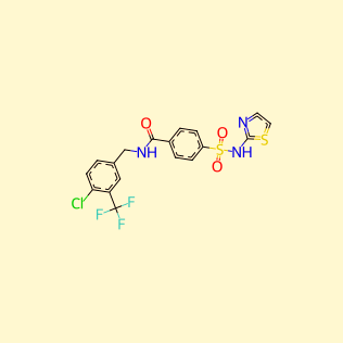 O=C(NCc1ccc(Cl)c(C(F)(F)F)c1)c1ccc(S(=O)(=O)Nc2nccs2)cc1